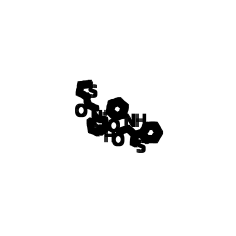 O=C(C[N+]12CCC(CC1)[C@@H](OC(=O)[C@H](Nc1ccccc1)c1csc3ccccc13)C2)C1CC=CS1